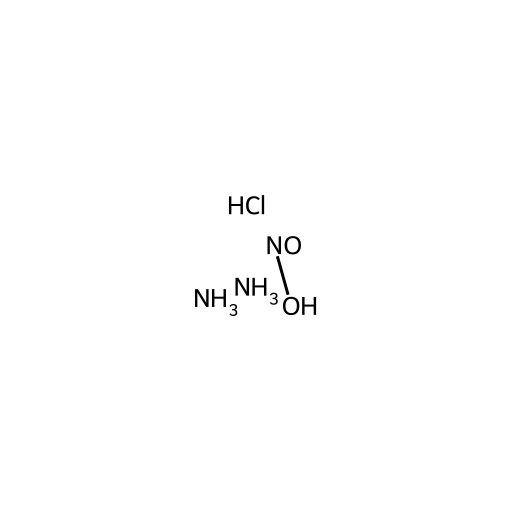 Cl.N.N.O=NO